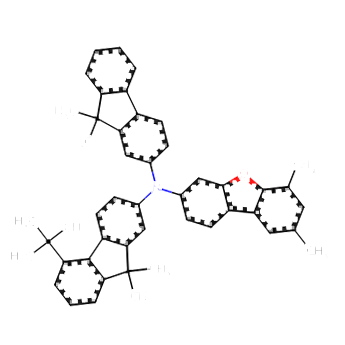 Cc1cc(C)c2oc3cc(N(c4ccc5c(c4)C(C)(C)c4ccccc4-5)c4ccc5c(c4)C(C)(C)c4cccc(C(C)(C)C)c4-5)ccc3c2c1